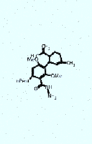 C=C(C)C1CCC(C)=CC1c1c(OC)cc(CCCCC)c(C(=O)NN)c1OC